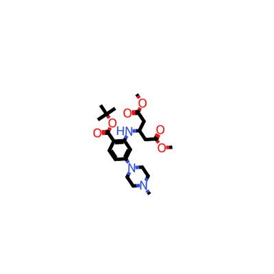 COC(=O)CC(CC(=O)OC)Nc1cc(N2CCN(C)CC2)ccc1C(=O)OC(C)(C)C